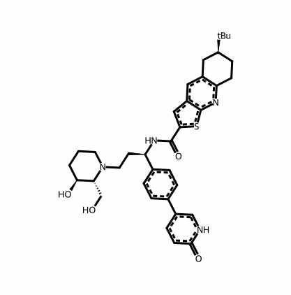 CC(C)(C)[C@H]1CCc2nc3sc(C(=O)N[C@H](CCN4CCC[C@H](O)[C@H]4CO)c4ccc(-c5ccc(=O)[nH]c5)cc4)cc3cc2C1